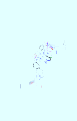 CON(c1ccc2c(c1)CCCC(NC[C@@H](C)O)C2)c1ncc(Cl)c(Nc2ccccc2S(=O)(=O)N(C)C)n1